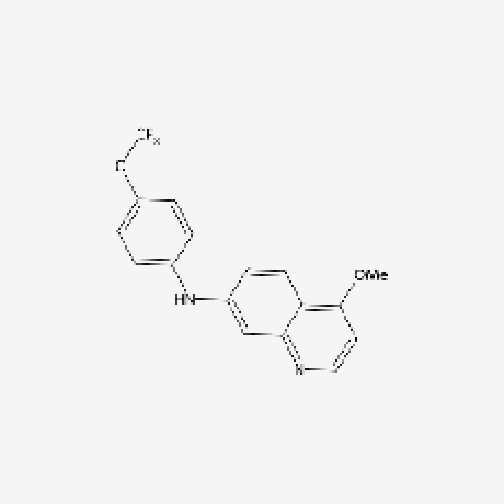 COc1ccnc2cc(Nc3ccc(OC(F)(F)F)cc3)ccc12